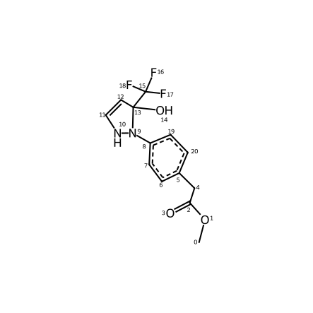 COC(=O)Cc1ccc(N2NC=CC2(O)C(F)(F)F)cc1